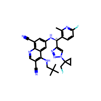 Cc1nc(F)ccc1[C@H](Nc1cc(C#N)c2ncc(C#N)c(NCC(C)(C)C)c2c1)c1cn(C2(CF)CC2)nn1